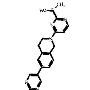 C[C@@H](O)c1nccc(N2CCc3cc(-c4cncnc4)ccc3C2)n1